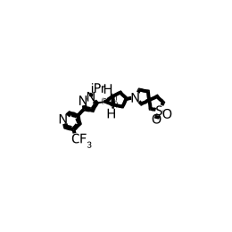 CC(C)n1nc(-c2cncc(C(F)(F)F)c2)cc1[C@H]1[C@@H]2CC(N3CCC4(CCS(=O)(=O)C4)C3)C[C@@H]21